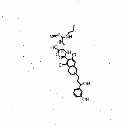 N#C/N=C(/NCCF)NC[C@H](NC(=O)c1c(Cl)cc2c(c1Cl)CCN(CCC(O)c1cccc(O)c1)C2)C(=O)O